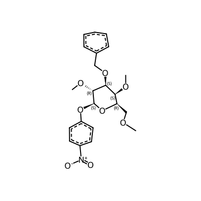 COC[C@H]1O[C@@H](Oc2ccc([N+](=O)[O-])cc2)[C@H](OC)[C@@H](OCc2ccccc2)[C@H]1OC